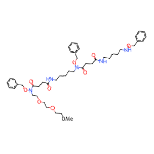 COCCOCCOCCN(OCc1ccccc1)C(=O)CCC(=O)NCCCCCN(OCc1ccccc1)C(=O)CCC(=O)NCCCCCNOCc1ccccc1